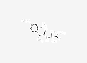 CCC(C)C(C)(NC(=O)C(C)c1ccc(OC)cc1C)C(=O)OC